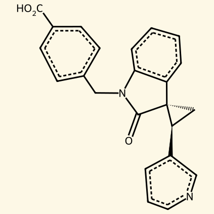 O=C(O)c1ccc(CN2C(=O)[C@@]3(C[C@H]3c3cccnc3)c3ccccc32)cc1